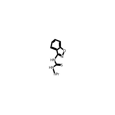 CCCNC(=S)Nc1noc2ccccc12